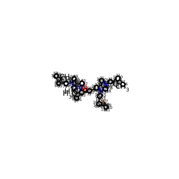 CC1(C)c2ccccc2-c2cccc(-c3ccc(N4c5ccccc5B5c6ccc(-c7ccc8c(c7)oc7c(N9c%10ccccc%10B%10c%11ccccc%11N(c%11ccc(-c%12cccc%13c%12C(C)(C)c%12ccccc%12-%13)cc%11)c%11cccc9c%11%10)c9c(cc78)-c7ccccc7C9(C)C)cc6N(c6ccc(-c7cccc8c7sc7ccccc78)cc6)c6cccc4c65)cc3)c21